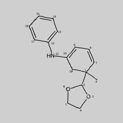 CC1(C2OCCO2)C=CC=C(Nc2ccccc2)C1